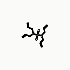 C=CCN(CC=C)S(=O)(=O)N(CC=C)CC=C